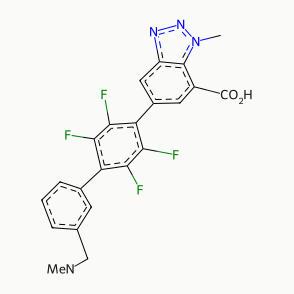 CNCc1cccc(-c2c(F)c(F)c(-c3cc(C(=O)O)c4c(c3)nnn4C)c(F)c2F)c1